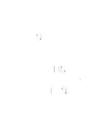 CC(C)N1CCCC(CNC(N)=O)C1